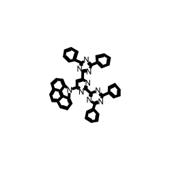 c1ccc(-c2nc(-c3ccccc3)nc(-c3cc(-n4c5cccc6ccc7cccc4c7c65)nc(-c4nc(-c5ccccc5)nc(-c5ccccc5)n4)n3)n2)cc1